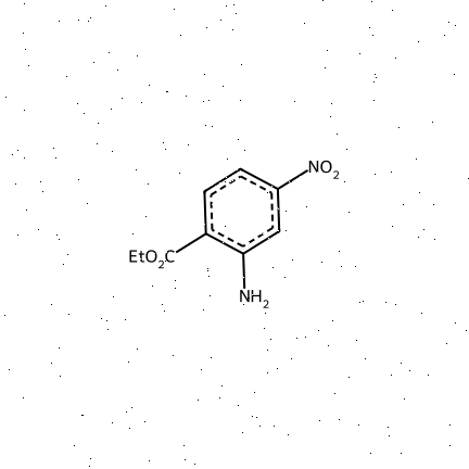 CCOC(=O)c1ccc([N+](=O)[O-])cc1N